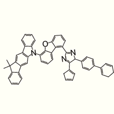 CC1(C)c2ccccc2-c2cc3c(cc21)c1ccccc1n3-c1cccc2c1oc1cccc(C3=NC(c4ccc(C5=CCCC=C5)cc4)C(C4=CC=CC4)=N3)c12